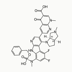 CN1C[C@H]2CCN(c3c(-c4cnc5c(c4)c(=O)c(C(=O)O)cn5C)cnc4[nH]c5c(N(C)P(=O)(O)OCc6ccccc6)cc(F)c(F)c5c34)[C@H]2C1